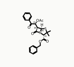 CC(=O)O[C@H](C(=O)c1ccccc1)[C@@H]1C(=O)N2[C@@H]1SC(C)(C)[C@@H]2C(=O)OCc1ccccc1